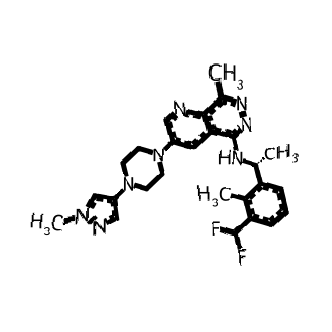 Cc1c(C(F)F)cccc1[C@@H](C)Nc1nnc(C)c2ncc(N3CCN(c4cnn(C)c4)CC3)cc12